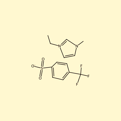 CC[n+]1ccn(C)c1.O=S(=O)([O-])c1ccc(C(F)(F)F)cc1